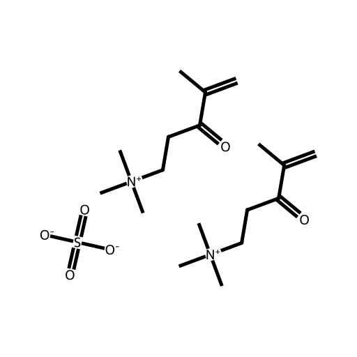 C=C(C)C(=O)CC[N+](C)(C)C.C=C(C)C(=O)CC[N+](C)(C)C.O=S(=O)([O-])[O-]